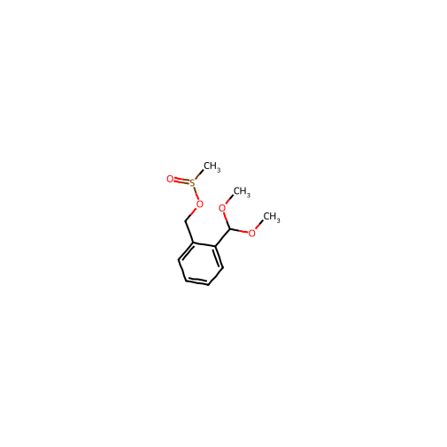 COC(OC)c1ccccc1COS(C)=O